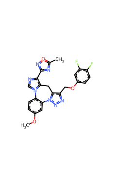 COc1ccc2c(c1)-n1nnc(COc3ccc(F)c(F)c3)c1Cc1c(-c3noc(C)n3)ncn1-2